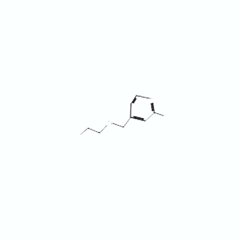 CCCNCc1ccnc(Br)c1